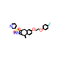 C=C1c2ccc(OCCOc3ccc(F)cc3)cc2CC2CCC1C2NS(=O)(=O)c1cccnc1